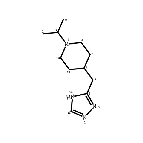 CC(C)N1CCC(Cc2nnc[nH]2)CC1